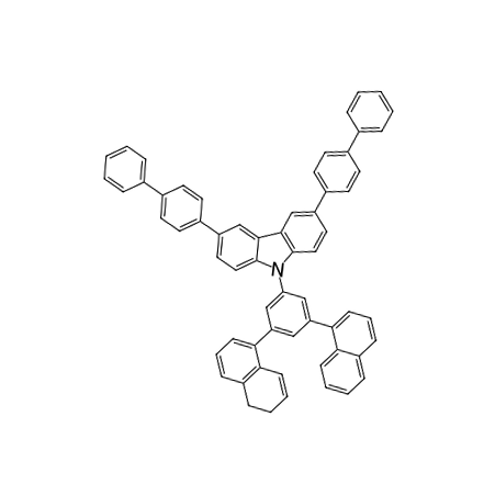 C1=Cc2c(cccc2-c2cc(-c3cccc4ccccc34)cc(-n3c4ccc(-c5ccc(-c6ccccc6)cc5)cc4c4cc(-c5ccc(-c6ccccc6)cc5)ccc43)c2)CC1